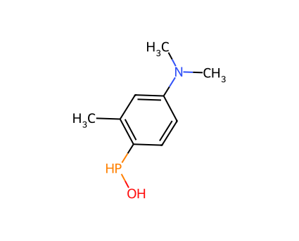 Cc1cc(N(C)C)ccc1PO